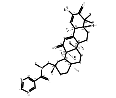 CN(C[C@@]1(C)CC[C@]2(C)CC[C@@]3(C)[C@]4(C)CC[C@H]5C(C)(C)C(=O)C(C#N)=C[C@]5(C)C4=CC(=O)[C@]3(O)[C@@H]2C1)C(=O)c1cncnc1